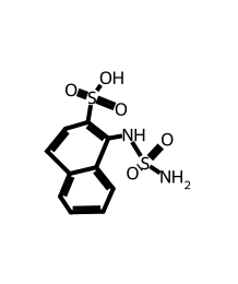 NS(=O)(=O)Nc1c(S(=O)(=O)O)ccc2ccccc12